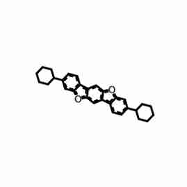 c1cc2c(cc1C1CCCCC1)oc1cc3c(cc12)oc1cc(C2CCCCC2)ccc13